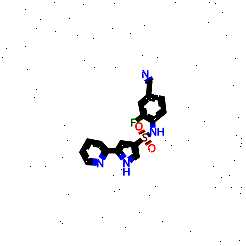 N#Cc1ccc(NS(=O)(=O)c2c[nH]c(-c3ccccn3)c2)c(F)c1